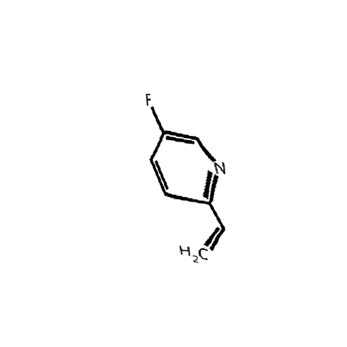 C=Cc1ccc(F)cn1